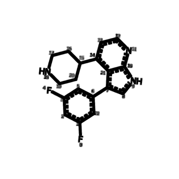 Fc1cc(F)cc(-c2c[nH]c3nccc(C4CCNCC4)c23)c1